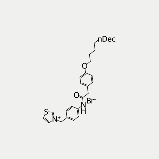 CCCCCCCCCCCCCCOc1ccc(CC(=O)Nc2ccc(C[n+]3ccsc3)cc2)cc1.[Br-]